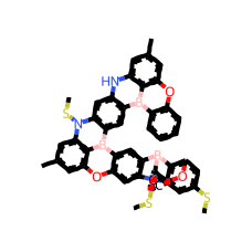 CSc1cc2c3c(c1)N(SC)c1cc4c(cc1B3c1ccccc1O2)B1c2cc3c(cc2N(SC)c2cc(C)cc(c21)O4)Nc1cc(C)cc2c1B3c1ccccc1O2